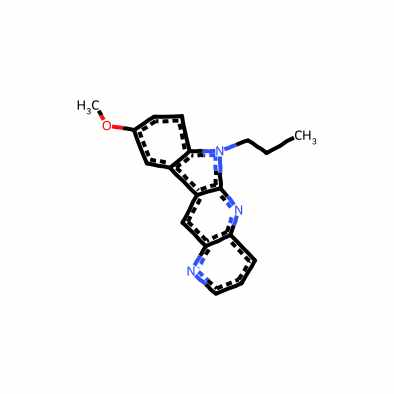 CCCn1c2ccc(OC)cc2c2cc3ncccc3nc21